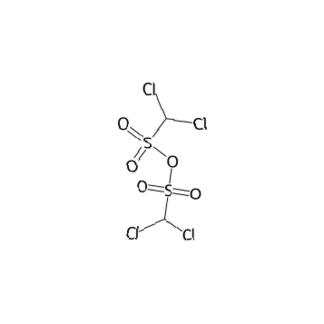 O=S(=O)(OS(=O)(=O)C(Cl)Cl)C(Cl)Cl